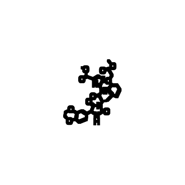 COC(=O)COc1cccc(C[C@@H](C(=O)Nc2nc(C(=O)OC)cs2)N2C(=O)NC(c3ccc4c(c3)OCCO4)C2=O)c1